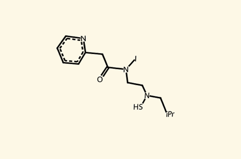 CC(C)CN(S)CCN(I)C(=O)Cc1ccccn1